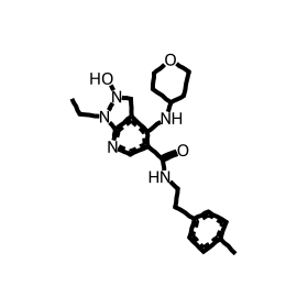 CCN1c2ncc(C(=O)NCCc3ccc(C)cc3)c(NC3CCOCC3)c2CN1O